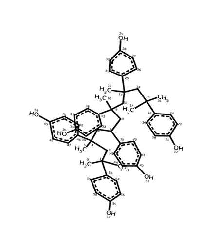 CC(C)(CC(C)(CC(CC(C)(CC(C)(CC(C)(C)c1ccc(O)cc1)c1ccc(O)cc1)c1ccc(O)cc1)c1ccc(O)cc1)c1ccc(O)cc1)c1ccc(O)cc1